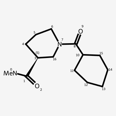 CNC(=O)[C@H]1CCCN(C(=O)C2CCCCC2)C1